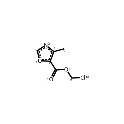 Cc1ncoc1C(=O)OCCl